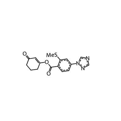 CSc1cc(-n2cncn2)ccc1C(=O)OC1=CC(=O)CCC1